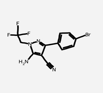 N#Cc1c(-c2ccc(Br)cc2)nn(CC(F)(F)F)c1N